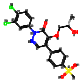 CC(C)[C@H](O)COc1c(-c2ccc(S(C)(=O)=O)cc2)cnn(-c2ccc(Cl)c(Cl)c2)c1=O